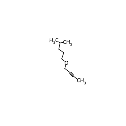 CC#CCOCCCC(C)C